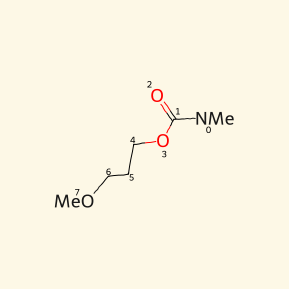 CNC(=O)OCCCOC